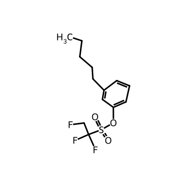 CCCCCc1cccc(OS(=O)(=O)C(F)(F)CF)c1